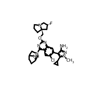 Cn1nc(N)c(-c2cc3nc(OC[C@@]45CCCN4C[C@H](F)C5)nc(N4CC5CCC(C4)N5)c3cc2Cl)c1C1CC1